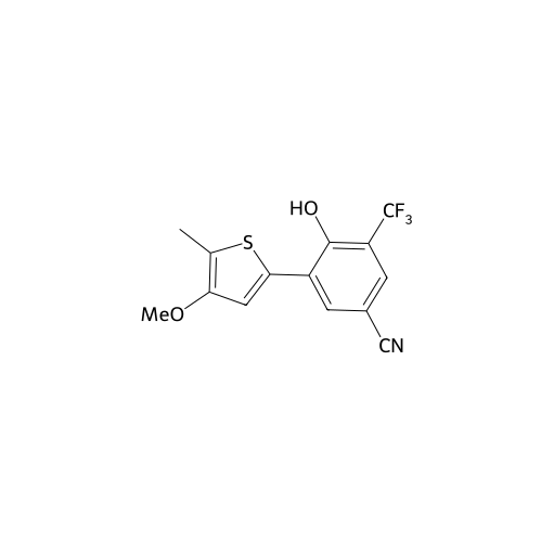 COc1cc(-c2cc(C#N)cc(C(F)(F)F)c2O)sc1C